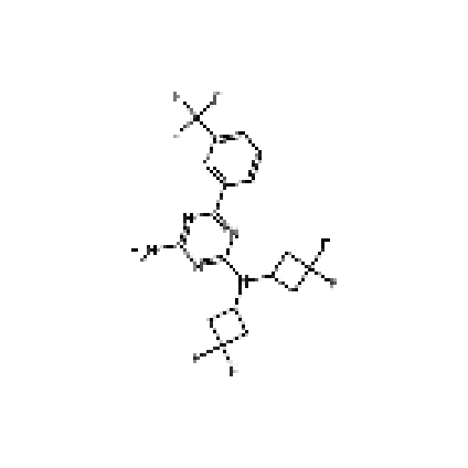 Nc1nc(-c2cccc(C(F)(F)F)n2)nc(N(C2CC(F)(F)C2)C2CC(F)(F)C2)n1